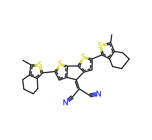 Cc1sc(-c2cc3c(s2)-c2sc(-c4sc(C)c5c4CCCC5)cc2C3=C(C#N)C#N)c2c1CCCC2